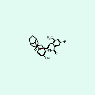 Cc1cc(F)cc2c(=O)[nH]c(CCC(=O)N3C4CCC3CN(c3ccc(C#N)cn3)C4)cc12